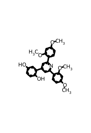 COc1ccc(-c2cc(-c3cc(O)ccc3O)cc(-c3ccc(OC)cc3OC)n2)c(OC)c1